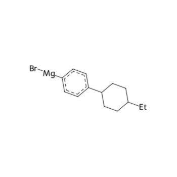 CCC1CCC(c2cc[c]([Mg][Br])cc2)CC1